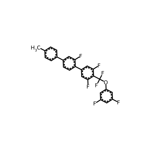 Cc1ccc(-c2ccc(-c3cc(F)c(C(F)(F)Oc4cc(F)cc(F)c4)c(F)c3)c(F)c2)cc1